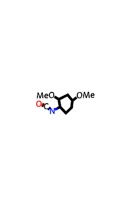 COC1CCC(N=C=O)C(OC)C1